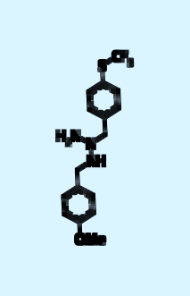 COc1ccc(CNN(N)Cc2ccc(SC(F)(F)F)cc2)cc1